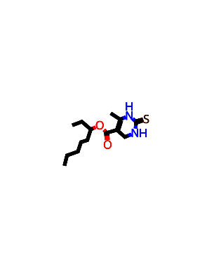 CCCCCC(CC)OC(=O)C1=C(C)NC(=S)NC1